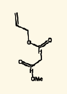 C=CCO[PH](=O)C[PH](=O)OC